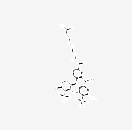 N=C1CCC2=C(c3ccc(C(=O)NCCSSCCC(=O)O)cc3C(=O)O)c3ccc(N)c(S(=O)(=O)O)c3OC2=C1S(=O)(=O)O